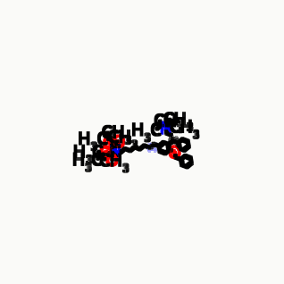 CC(C)N(CC[C@H](c1ccccc1)c1cc(/C=C/CCCCCCN(C(=O)OC(C)(C)C)C(=O)OC(C)(C)C)ccc1OCc1ccccc1)C(C)C